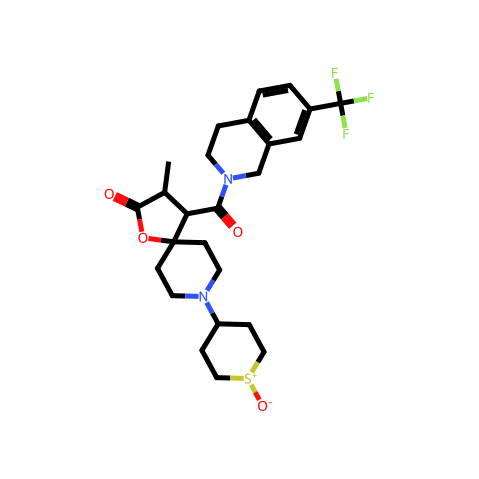 CC1C(=O)OC2(CCN(C3CC[S+]([O-])CC3)CC2)C1C(=O)N1CCc2ccc(C(F)(F)F)cc2C1